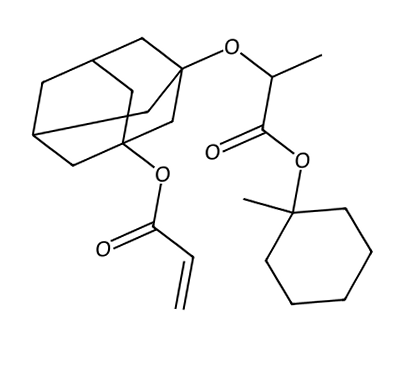 C=CC(=O)OC12CC3CC(C1)CC(OC(C)C(=O)OC1(C)CCCCC1)(C3)C2